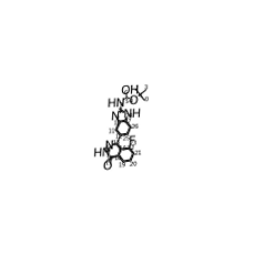 CC(C)(C)OC(O)Nc1nc2cc(-c3n[nH]c(=O)c4cccc(F)c34)ccc2[nH]1